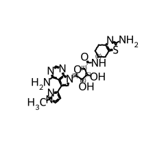 Cn1ccc(-c2cn([C@@H]3O[C@H](C(=O)N[C@@H]4CCc5nc(N)sc5C4)[C@@H](O)[C@H]3O)c3ncnc(N)c23)n1